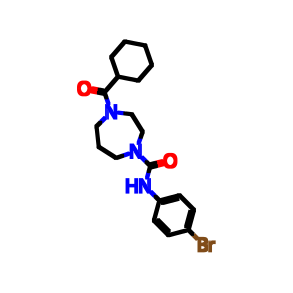 O=C(Nc1ccc(Br)cc1)N1CCCN(C(=O)C2CCCCC2)CC1